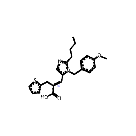 CCCCc1ncc(/C=C(\Cc2cccs2)C(=O)O)n1Cc1ccc(OC)cc1